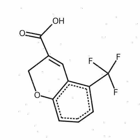 O=C(O)C1=Cc2c(cccc2C(F)(F)F)OC1